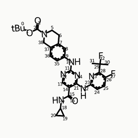 CC(C)(C)OC(=O)N1CCc2cc(Nc3ncc(C(=O)NC4CC4)c(Nc4ccc(F)c(C(C)(C)F)n4)n3)ccc2C1